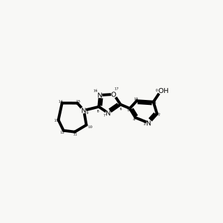 Oc1cncc(-c2nc(N3CCCCCC3)no2)c1